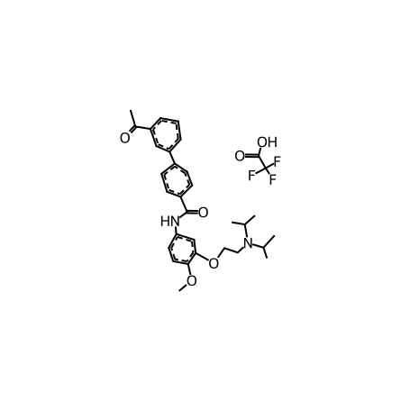 COc1ccc(NC(=O)c2ccc(-c3cccc(C(C)=O)c3)cc2)cc1OCCN(C(C)C)C(C)C.O=C(O)C(F)(F)F